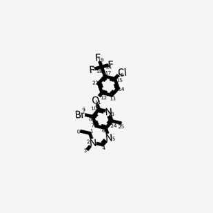 CCN(C)/C=N\c1cc(Br)c(Oc2ccc(Cl)c(C(F)(F)F)c2)nc1C